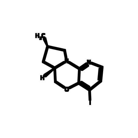 C[C@@H]1C[C@H]2COc3c(I)ccnc3N2C1